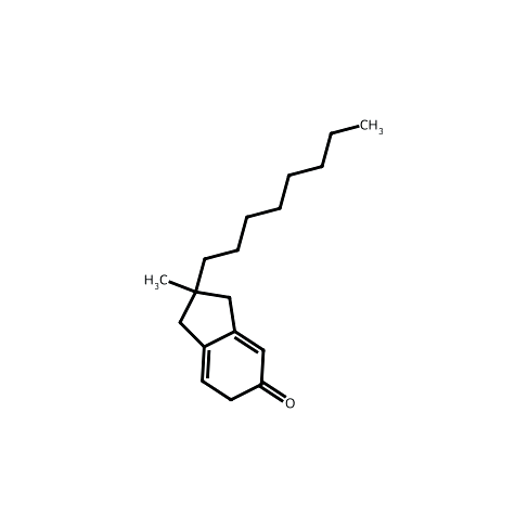 CCCCCCCCC1(C)CC2=CCC(=O)C=C2C1